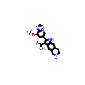 COc1cc(-c2[nH]c3cc4c(cc3c2C(C)C)CNCC4)cn2ncnc12